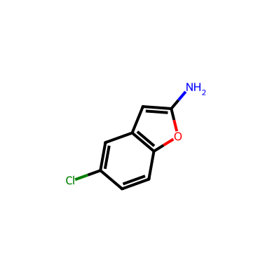 Nc1cc2cc(Cl)ccc2o1